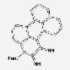 CCCC(C)c1c(=N)c(=N)c2c3cccc4cccc(c5cccc1c52)c43